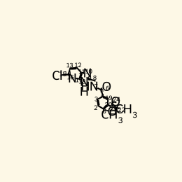 Cc1ccc(C(=O)NCc2nc3ccc(Cl)nc3[nH]2)cc1S(C)(=O)=O